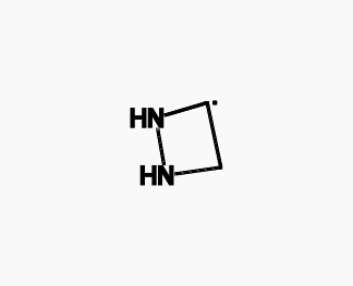 [CH]1CNN1